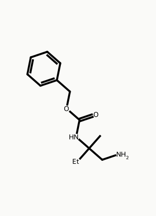 CCC(C)(CN)NC(=O)OCc1ccccc1